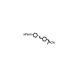 CCCCC[C@H]1CC[C@H](/C=C/C2CCC(C=C(F)C#N)CC2)CC1